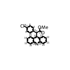 COC(=O)C(c1ccc(Cl)cc1)c1c2ccccc2nc2ccccc12